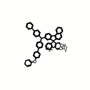 C=C/C(C)=C(\C=C)C1(c2ccccc2)c2cc(C(c3ccc(-c4ccccc4)cc3)c3ccc(-c4ccc(OC5=CCCC=C5)cc4)cc3)ccc2-c2c1ccc1ccccc21